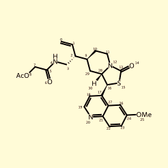 C=C[C@@H](CNC(=O)COC(C)=O)[C@H]1CCN2C(=O)S[C@@H](c3ccnc4ccc(OC)cc34)[C@@H]2C1